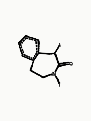 O=C1C(I)c2ccccc2CCN1I